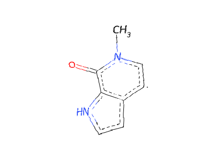 Cn1c[c]c2cc[nH]c2c1=O